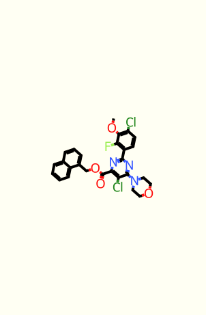 COc1c(Cl)ccc(-c2nc(C(=O)OCc3cccc4ccccc34)c(Cl)c(N3CCOCC3)n2)c1F